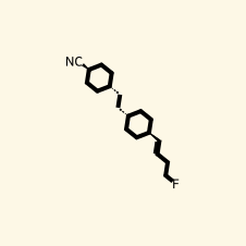 N#C[C@H]1CC[C@H](CC[C@H]2CC[C@H](C=CCCF)CC2)CC1